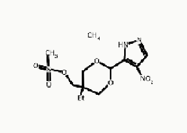 C.CCC1(COS(C)(=O)=O)COC(c2[nH]ncc2[N+](=O)[O-])OC1